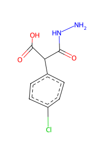 NNC(=O)C(C(=O)O)c1ccc(Cl)cc1